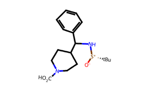 CC(C)(C)[S@+]([O-])NC(c1ccccc1)C1CCN(C(=O)O)CC1